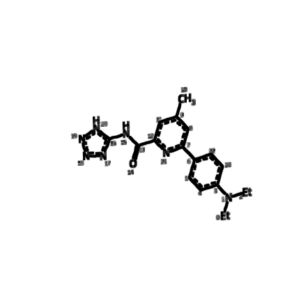 CCN(CC)c1ccc(-c2cc(C)cc(C(=O)Nc3nnn[nH]3)n2)cc1